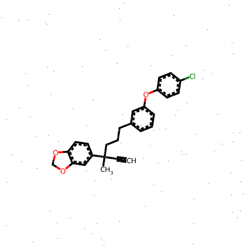 C#CC(C)(CCCc1cccc(Oc2ccc(Cl)cc2)c1)c1ccc2c(c1)OCO2